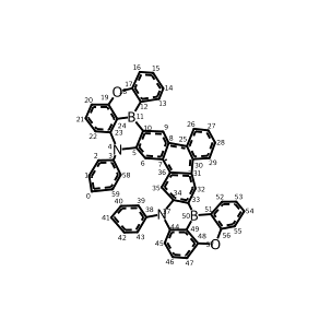 c1ccc(N2c3cc4c(cc3B3c5ccccc5Oc5cccc2c53)c2ccccc2c2cc3c(cc24)N(c2ccccc2)c2cccc4c2B3c2ccccc2O4)cc1